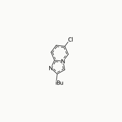 CCC(C)c1cn2cc(Cl)ccc2n1